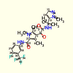 Cc1c(C(=O)C(=O)NC(C)(C)c2ccnn2C)c(C)n(C)c1C(=O)Nc1ccc(F)c(C(F)(F)F)c1